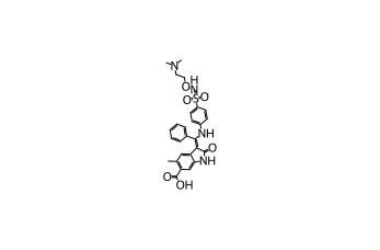 Cc1cc2c(cc1C(=O)O)NC(=O)/C2=C(\Nc1ccc(S(=O)(=O)NOCCN(C)C)cc1)c1ccccc1